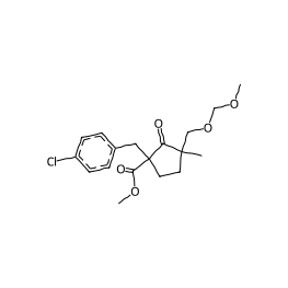 COCOCC1(C)CCC(Cc2ccc(Cl)cc2)(C(=O)OC)C1=O